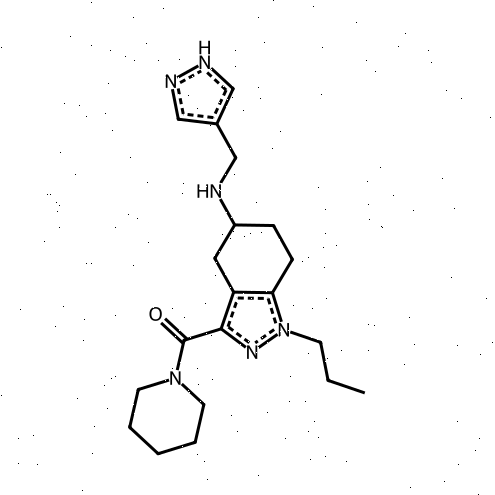 CCCn1nc(C(=O)N2CCCCC2)c2c1CCC(NCc1cn[nH]c1)C2